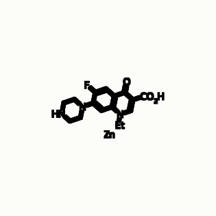 CCn1cc(C(=O)O)c(=O)c2cc(F)c(N3CCNCC3)cc21.[Zn]